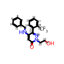 O=c1cc(NCc2ccccc2)c(-c2ccccc2C(F)(F)F)nn1CCO